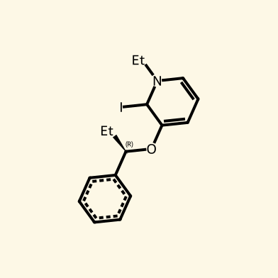 CC[C@@H](OC1=CC=CN(CC)C1I)c1ccccc1